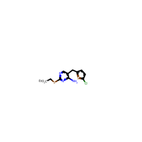 CCOC(=O)CSc1ncc(Cc2ccc(Cl)s2)c(N)n1